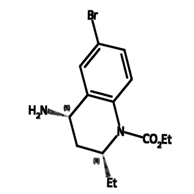 CCOC(=O)N1c2ccc(Br)cc2[C@@H](N)C[C@H]1CC